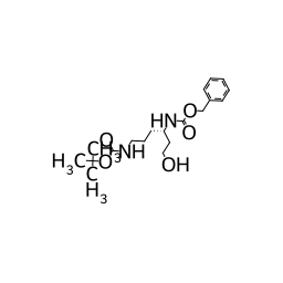 CC(C)(C)OC(=O)NCCC[C@@H](CCO)NC(=O)OCc1ccccc1